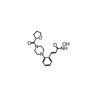 O=C(C=Cc1ccccc1N1CCN(C(=O)C2CCCO2)CC1)NO